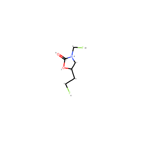 O=C1OC(CCF)CN1CF